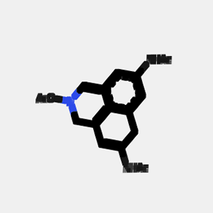 CC(=O)NC1=CC2=c3c(cc(NC(C)=O)cc3=CN(OC(C)=O)C2)C1